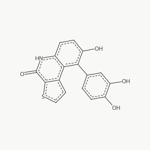 O=c1[nH]c2ccc(O)c(-c3ccc(O)c(O)c3)c2c2ccsc12